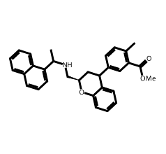 COC(=O)c1cc(C2C[C@H](CNC(C)c3cccc4ccccc34)Oc3ccccc32)ccc1C